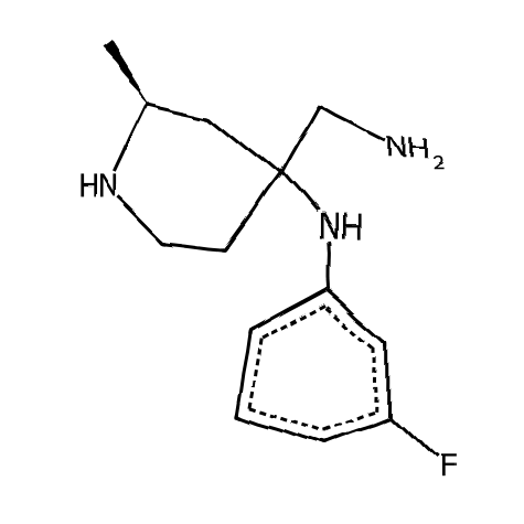 C[C@H]1CC(CN)(Nc2cccc(F)c2)CCN1